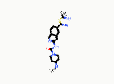 CNC1CCN(C(=O)Nc2cc3cc(C(=N)SC(C)=N)ccc3cn2)CC1